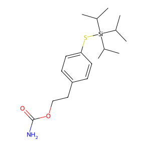 CC(C)[Si](Sc1ccc(CCOC(N)=O)cc1)(C(C)C)C(C)C